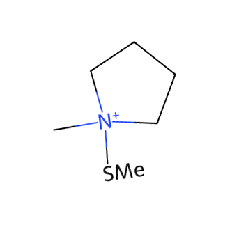 CS[N+]1(C)CCCC1